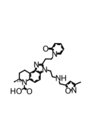 Cc1cc(CNCCn2c(CCn3ccccc3=O)nc3c4c(ccc32)N(C(=O)O)[C@@H](C)CC4)on1